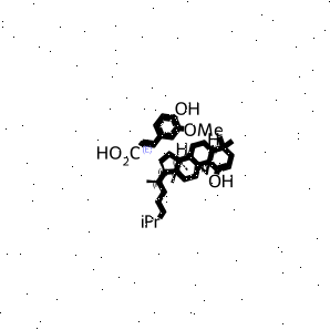 CC(C)CCC[C@@H](C)[C@H]1CC[C@@]2(C)[C@@H]3CC[C@H]4C(C)(C)CC=C(O)[C@@]45C[C@@]35CC[C@]12C.COc1cc(/C=C/C(=O)O)ccc1O